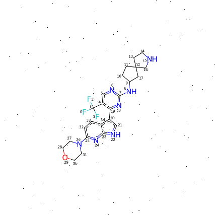 FC(F)(F)c1cnc(NC2CCC3(CCNC3)C2)nc1-c1c[nH]c2nc(N3CCOCC3)ccc12